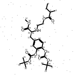 CCC(C)C(=O)OCCN[C@@H](Cc1ccc(OC(=O)OC(C)(C)C)c(OC(=O)OC(C)(C)C)c1)C(=O)OC